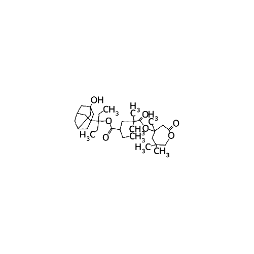 CCC(CC(C)(C)C(=O)OC1(C)CC(=O)OCC(C)(C)C1)C(=O)OC(CC)(CC)C12CC3CC(CC(O)(C3)C1)C2